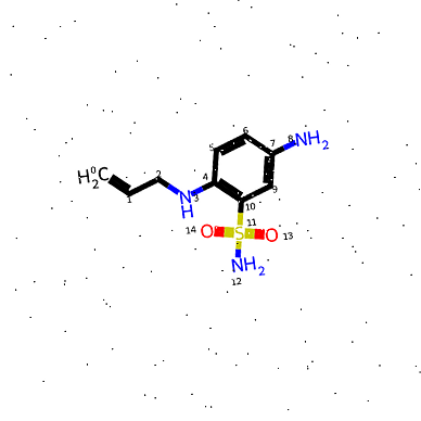 C=CCNc1ccc(N)cc1S(N)(=O)=O